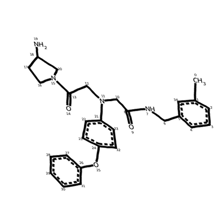 Cc1cccc(CNC(=O)CN(CC(=O)N2CCC(N)C2)c2ccc(Oc3ccccc3)cc2)c1